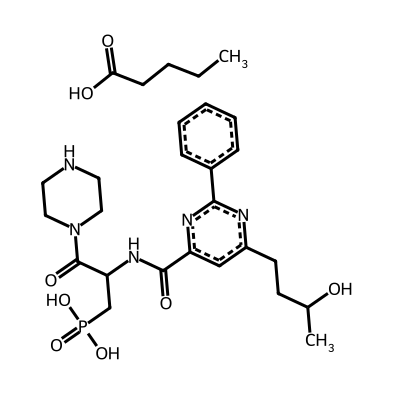 CC(O)CCc1cc(C(=O)NC(CP(=O)(O)O)C(=O)N2CCNCC2)nc(-c2ccccc2)n1.CCCCC(=O)O